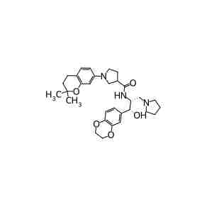 CC1(C)CCc2ccc(N3CCC(C(=O)N[C@H](CN4CCCC4)[C@H](O)c4ccc5c(c4)OCCO5)C3)cc2O1